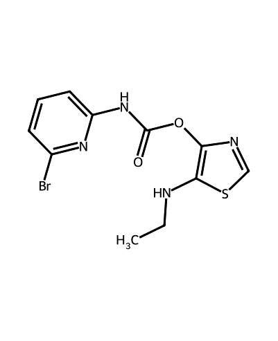 CCNc1scnc1OC(=O)Nc1cccc(Br)n1